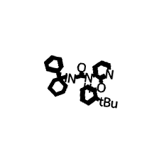 CC(C)(C)c1ccccc1Oc1ncccc1NC(=O)NCC1(c2ccccc2)CCCCC1